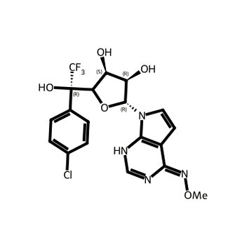 CON=c1nc[nH]c2c1ccn2[C@@H]1OC([C@](O)(c2ccc(Cl)cc2)C(F)(F)F)[C@@H](O)[C@H]1O